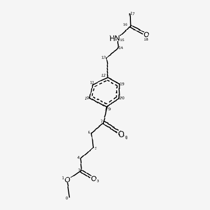 COC(=O)CCCC(=O)c1ccc(CCNC(C)=O)cc1